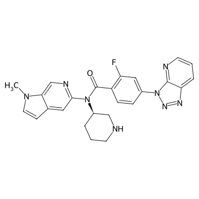 Cn1ccc2cc(N(C(=O)c3ccc(-n4nnc5cccnc54)cc3F)[C@@H]3CCCNC3)ncc21